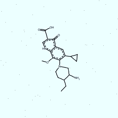 CCC1CCN(c2c(C3CC3)cc3c(=O)c(C(=O)O)c[nH]c3c2OC)CC1N